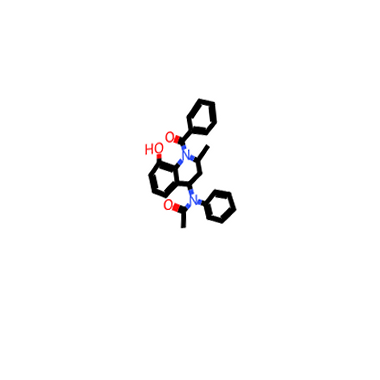 CC(=O)N(c1ccccc1)C1CC(C)N(C(=O)c2ccccc2)c2c(O)cccc21